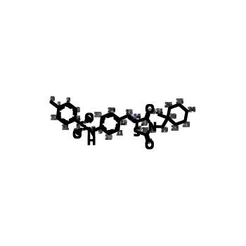 Cc1ccc(S(=O)(=O)Nc2ccc(/C=C3\SC(=O)N(CC4(C)CCCCC4)C3=O)cc2)cc1